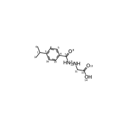 CC(C)c1ccc(C(=O)NNCC(=O)O)cc1